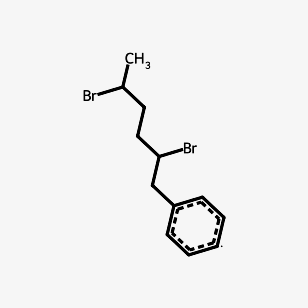 CC(Br)CCC(Br)Cc1cc[c]cc1